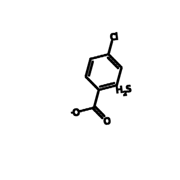 S.[O]C(=O)c1ccc(Cl)cc1